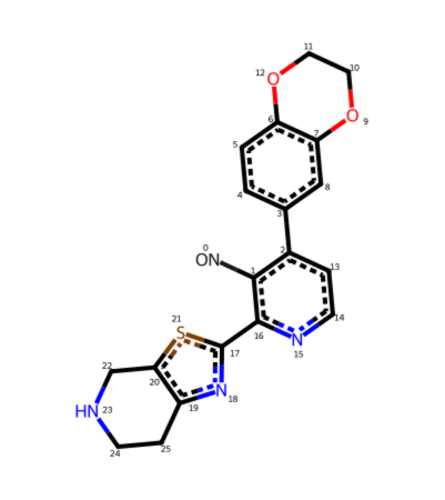 O=Nc1c(-c2ccc3c(c2)OCCO3)ccnc1-c1nc2c(s1)CNCC2